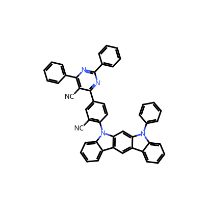 N#Cc1cc(-c2nc(-c3ccccc3)nc(-c3ccccc3)c2C#N)ccc1-n1c2ccccc2c2cc3c4ccccc4n(-c4ccccc4)c3cc21